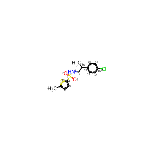 [CH2]c1ccc(S(=O)(=O)NCC(C)c2ccc(Cl)cc2)s1